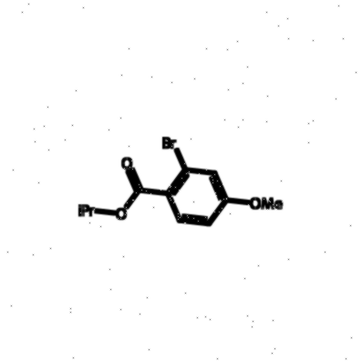 COc1ccc(C(=O)OC(C)C)c(Br)c1